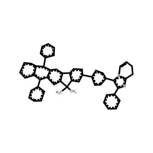 CC1(C)c2cc(-c3ccc(-c4c(-c5ccccc5)nc5n4C=CCC5)cc3)ccc2-c2cc3c(-c4ccccc4)c4ccccc4c(-c4ccccc4)c3cc21